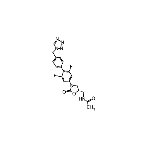 CC(=O)NC[C@H]1CN(c2cc(F)c(-c3ccc(Cn4cnnn4)cc3)c(F)c2)C(=O)O1